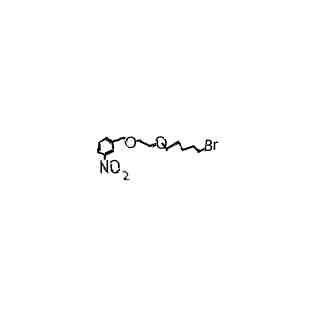 O=[N+]([O-])c1cccc(COCCOCCCCCBr)c1